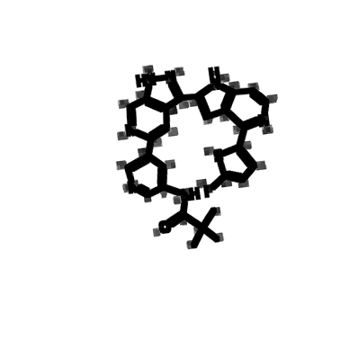 CC(C)(C)C(=O)Nc1cncc(-c2cc3c(-c4cc5c(-c6ccc(F)s6)nccc5[nH]4)n[nH]c3cn2)c1